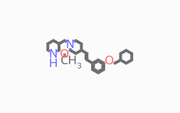 COC1NCCCC1CN1CCC(C=Cc2cccc(OCC3CCCCC3)c2)CC1